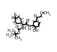 COCC(=O)c1ccc(O)c(NC(=O)[C@@H](NC(=O)OC(C)(C)C)C2CCC(F)(F)CC2)c1